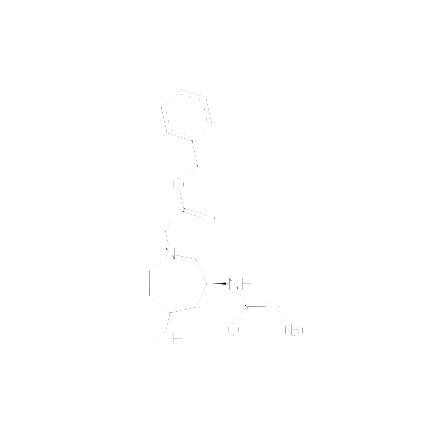 C[C@H]1CC(O)C[C@H](NC(=O)OC(C)(C)C)CN1CC(=O)OCc1ccccc1